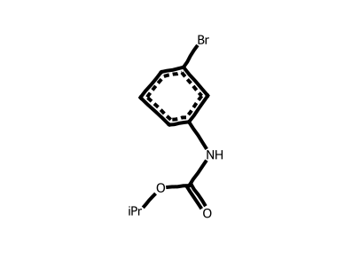 CC(C)OC(=O)Nc1cccc(Br)c1